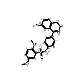 COc1ccc(OC)c(S(=O)(=O)Nc2ccc(C3=NCCc4ccc(F)cc43)cc2)c1